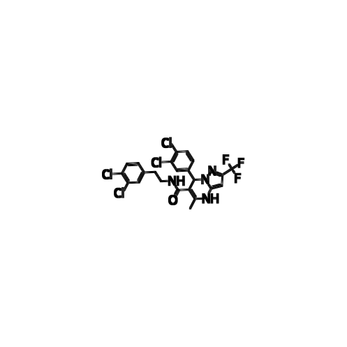 CC1=C(C(=O)NCCc2ccc(Cl)c(Cl)c2)C(c2ccc(Cl)c(Cl)c2)n2nc(C(F)(F)F)cc2N1